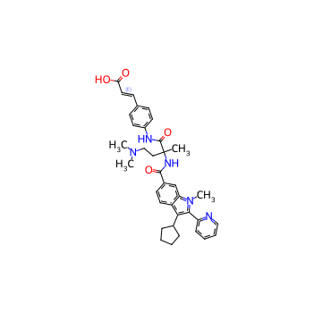 CN(C)CCC(C)(NC(=O)c1ccc2c(C3CCCC3)c(-c3ccccn3)n(C)c2c1)C(=O)Nc1ccc(/C=C/C(=O)O)cc1